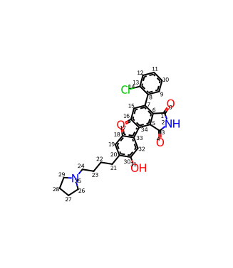 O=C1NC(=O)c2c1c(-c1ccccc1Cl)cc1oc3cc(CCCCN4CCCC4)c(O)cc3c21